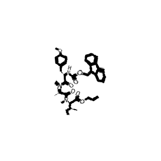 C=CCOC(=O)[C@H]([C@@H](C)CC)N(C)C(=O)[C@H](C)N(C)C(=O)[C@H](Cc1ccc(OC)cc1)NC(=O)OCC1c2ccccc2-c2ccccc21